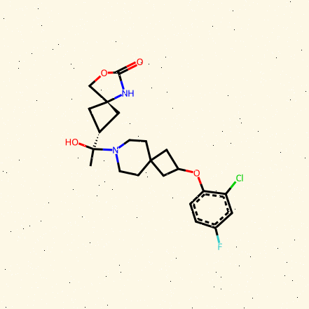 CC(O)([C@H]1C[C@]2(COC(=O)N2)C1)N1CCC2(CC1)CC(Oc1ccc(F)cc1Cl)C2